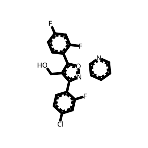 OCc1c(-c2ccc(Cl)cc2F)noc1-c1ccc(F)cc1F.c1ccncc1